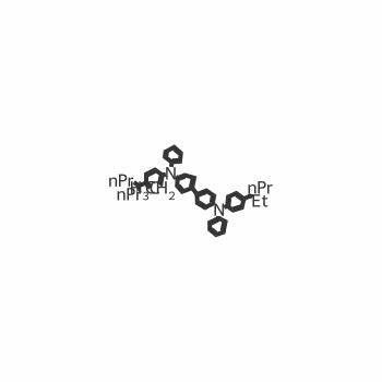 C=C(/C=C\C(=C/C)N(c1ccccc1)c1ccc(-c2ccc(N(c3ccccc3)c3ccc(C(CC)CCC)cc3)cc2)cc1)C(CCC)CCC